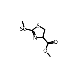 COC(=O)C1CSC([Se]C)=N1